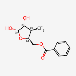 O=C(OC[C@H]1O[C@H](O)[C@H](O)[C@H]1C(F)(F)F)c1ccccc1